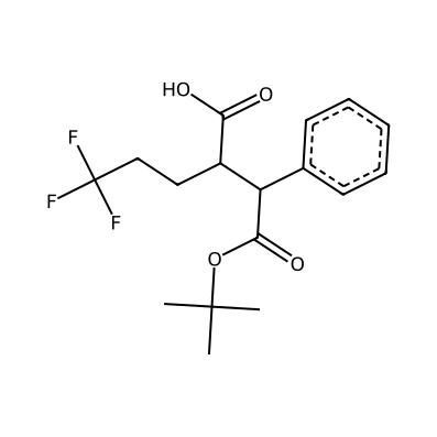 CC(C)(C)OC(=O)C(c1ccccc1)C(CCC(F)(F)F)C(=O)O